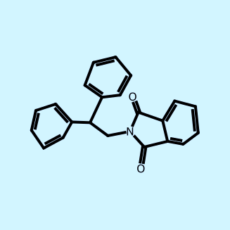 O=C1c2ccccc2C(=O)N1CC(c1ccccc1)c1ccccc1